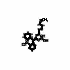 CCN1c2ccccc2C(=C(OP(O)O)S/C=C/C=C\C=N/C)c2ccccc21